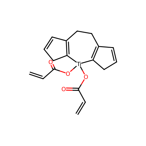 C=CC(=O)[O][Ti]1([O]C(=O)C=C)[C]2=C(C=CC2)CCC2=[C]1CC=C2